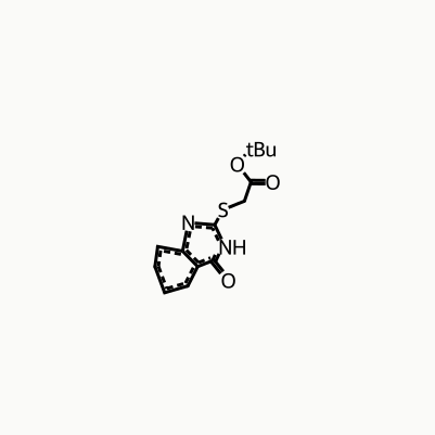 CC(C)(C)OC(=O)CSc1nc2ccccc2c(=O)[nH]1